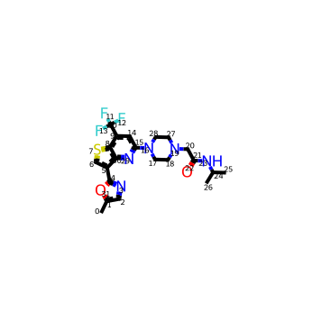 Cc1cnc(-c2csc3c(C(F)(F)F)cc(N4CCN(CC(=O)NC(C)C)CC4)nc23)o1